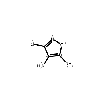 Nc1onc(Cl)c1N